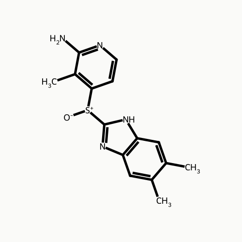 Cc1cc2nc([S+]([O-])c3ccnc(N)c3C)[nH]c2cc1C